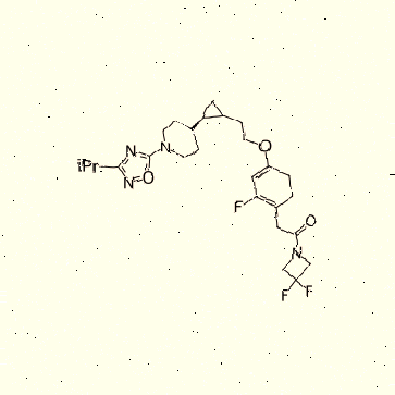 CC(C)c1noc(N2CCC([C@H]3CC3CCOC3=CC(F)=C(CC(=O)N4CC(F)(F)C4)CC3)CC2)n1